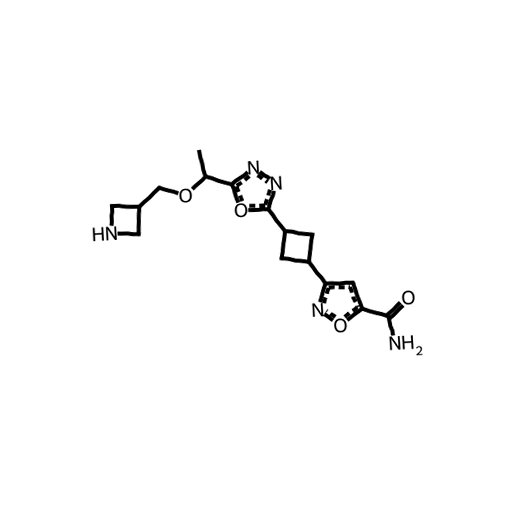 CC(OCC1CNC1)c1nnc(C2CC(c3cc(C(N)=O)on3)C2)o1